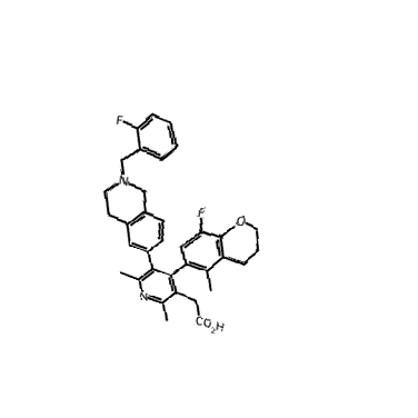 Cc1nc(C)c(-c2ccc3c(c2)CCN(Cc2ccccc2F)C3)c(-c2cc(F)c3c(c2C)CCCO3)c1CC(=O)O